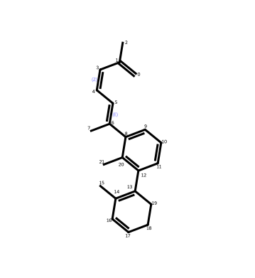 C=C(C)/C=C\C=C(/C)c1cccc(C2=C(C)C=CCC2)c1C